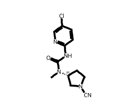 CN(C(=O)Nc1ccc(Cl)cn1)[C@@H]1CCN(C#N)C1